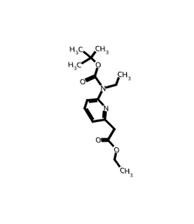 CCOC(=O)Cc1cccc(N(CC)C(=O)OC(C)(C)C)n1